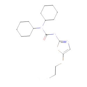 O=C(O)CCSc1cnc(NC(=O)N(C2CCCCC2)C2CCCCC2)s1